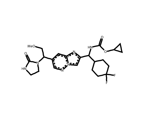 COCC(c1cnn2cc(C(NC(=O)OC3CC3)C3CCC(F)(F)CC3)nc2c1)N1CCNC1=O